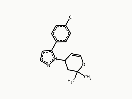 CC1(C)CC(n2nccc2-c2ccc(Cl)cc2)C=CO1